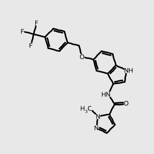 Cn1nccc1C(=O)Nc1c[nH]c2ccc(OCc3ccc(C(F)(F)F)cc3)cc12